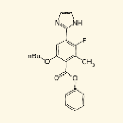 CCCCOc1cc(-c2ncc[nH]2)c(F)c(C)c1C(=O)Oc1ccccc1